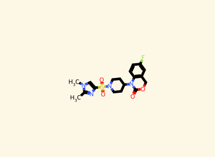 Cc1nc(S(=O)(=O)N2CCC(N3C(=O)OCc4cc(F)ccc43)CC2)cn1C